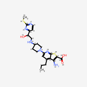 CCCc1cc(N2CCC(NCC(O)c3ccnc(SC)n3)CC2)nc2sc(C(=O)O)c(N)c12